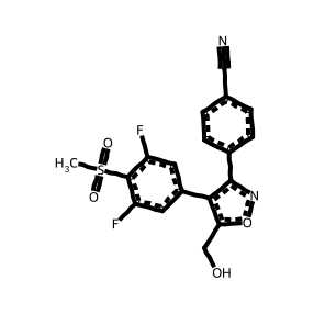 CS(=O)(=O)c1c(F)cc(-c2c(-c3ccc(C#N)cc3)noc2CO)cc1F